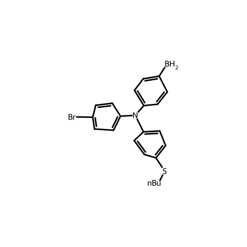 Bc1ccc(N(c2ccc(Br)cc2)c2ccc(SCCCC)cc2)cc1